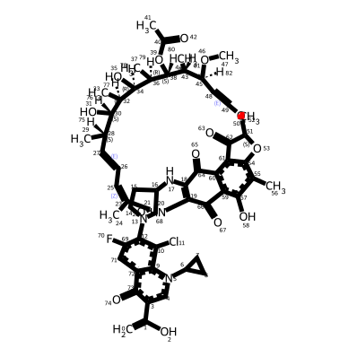 C=C(O)c1cn(C2CC2)c2c(Cl)c(N3CCC(NC4=C5NC(=O)/C(C)=C\C=C\[C@H](C)[C@H](O)[C@@H](C)[C@@H](O)[C@@H](C)[C@H](OC(C)=O)[C@H](C)[C@@H](OC)/C=C/O[C@@]6(C)Oc7c(C)c(O)c(c(c7C6=O)C4=O)C5=O)C3)c(F)cc2c1=O